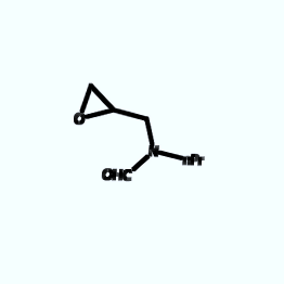 CCCN(C=O)CC1CO1